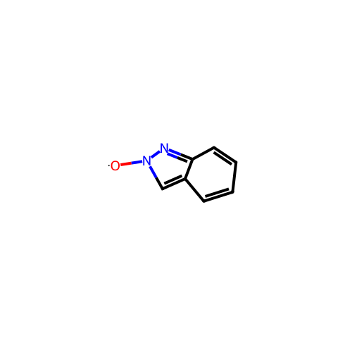 [O]n1cc2ccccc2n1